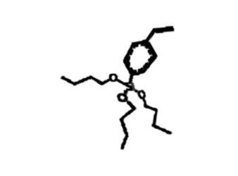 C=Cc1ccc([Si](OCCCC)(OCCCC)OCCCC)cc1